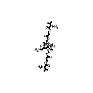 CC(C)[C@H](N)C(=O)OCCC(=O)OCOP(=O)(O)C(O)(CCCN)P(=O)(O)OCOC(=O)CCOC(=O)[C@@H](N)C(C)C